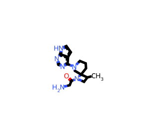 CC1CN(C(=O)CN)C12CCCN(c1ncnc3[nH]ccc13)C2